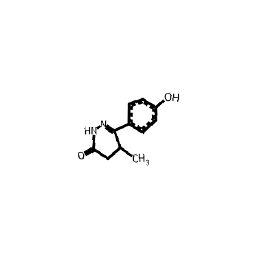 CC1CC(=O)NN=C1c1ccc(O)cc1